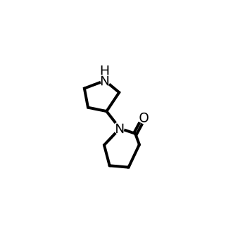 O=C1CCCCN1C1CCNC1